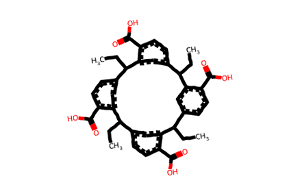 CCC1c2ccc(C(=O)O)c(c2)C(CC)c2ccc(C(=O)O)c(c2)C(CC)c2ccc(C(=O)O)c(c2)C(CC)c2ccc(C(=O)O)c1c2